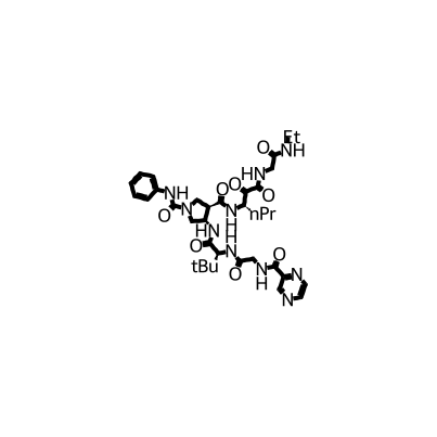 CCC[C@H](NC(=O)[C@@H]1CN(C(=O)Nc2ccccc2)C[C@@H]1NC(=O)[C@@H](NC(=O)CNC(=O)c1cnccn1)C(C)(C)C)C(=O)C(=O)NCC(=O)NCC